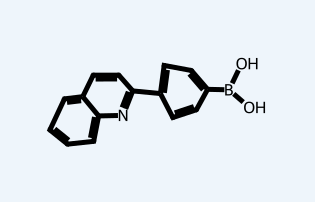 OB(O)c1ccc(-c2ccc3ccccc3n2)cc1